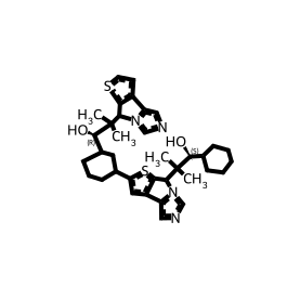 CC(C)(C1c2sccc2-c2cncn21)[C@H](O)C1CCCC(c2cc3c(s2)C(C(C)(C)[C@@H](O)C2CCCCC2)n2cncc2-3)C1